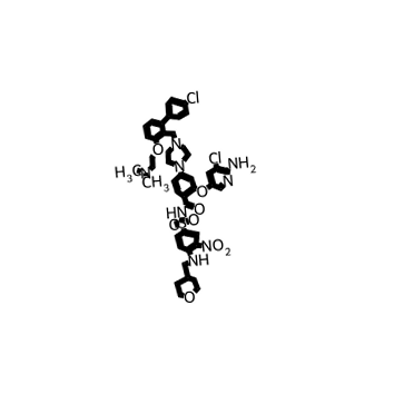 CN(C)CCOc1cccc(-c2ccc(Cl)cc2)c1CN1CCN(c2ccc(C(=O)NS(=O)(=O)c3ccc(NCC4CCOCC4)c([N+](=O)[O-])c3)c(Oc3cnc(N)c(Cl)c3)c2)CC1